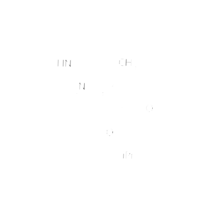 CC(C)OC(=O)[C@@H](C)N=N